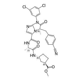 COC(=O)[C@@H]1CC[C@@H](NC(=O)[C@H](C)NC(=O)c2cnc3n2[C@](C)(Cc2ccc(C#N)cc2)C(=O)N3c2cc(Cl)cc(Cl)c2)C1